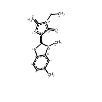 C=c1s/c(=C2\Sc3ccc(C)cc3N2C)c(=O)n1CC